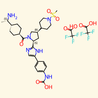 C[C@H](N)[C@H]1CC[C@H](C(=O)N2C[C@@H](C3CCN(S(C)(=O)=O)CC3)C[C@H]2c2ncc(-c3ccc(NC(=O)O)cc3)[nH]2)CC1.O=C(O)C(F)(F)F.O=C(O)C(F)(F)F